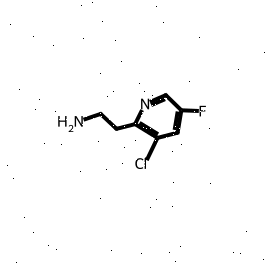 NCCc1ncc(F)cc1Cl